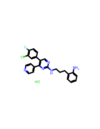 Cl.Nc1ccccc1CCCNc1ncc(-c2ccc(F)c(Cl)c2)c(-c2ccncc2)n1